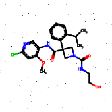 COc1cc(Cl)ncc1NC(=O)C1(c2ccccc2C(C)C)CN(C(=O)NCCO)C1